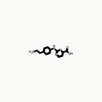 NCCc1ccc(Nc2nccc(C(=O)O)n2)cc1